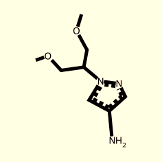 COCC(COC)n1cc(N)cn1